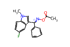 CC(=O)O/N=C(\c1ccccc1)c1cn(C)c2ccc(F)cc12